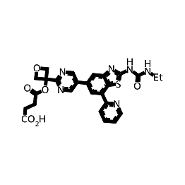 CCNC(=O)Nc1nc2cc(-c3cnc(C4(OC(=O)CCC(=O)O)COC4)nc3)cc(-c3ccccn3)c2s1